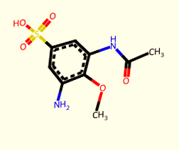 COc1c(N)cc(S(=O)(=O)O)cc1NC(C)=O